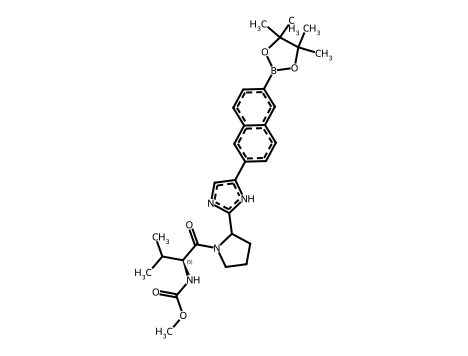 COC(=O)N[C@H](C(=O)N1CCCC1c1ncc(-c2ccc3cc(B4OC(C)(C)C(C)(C)O4)ccc3c2)[nH]1)C(C)C